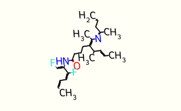 C=CC/C(C)=N\C(C)=C(\CCCC(=O)NC(=C\F)/C(F)=C\C=C/C)C(C)/C=C/C